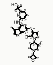 Cc1csc2nc(Nc3cnn([C@H]4CCN(C5COC5)C[C@@H]4F)c3Cl)nc(Nc3cccc(C(C)(C)O)n3)c12